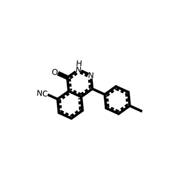 Cc1ccc(-c2n[nH]c(=O)c3c(C#N)cccc23)cc1